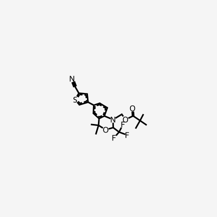 CC(C)(C)C(=O)OCN1c2ccc(-c3csc(C#N)c3)cc2C(C)(C)OC1C(F)(F)F